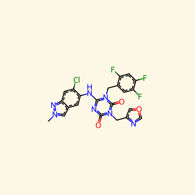 Cn1cc2cc(Nc3nc(=O)n(Cc4cocn4)c(=O)n3Cc3cc(F)c(F)cc3F)c(Cl)cc2n1